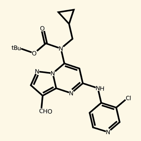 CC(C)(C)OC(=O)N(CC1CC1)c1cc(Nc2ccncc2Cl)nc2c(C=O)cnn12